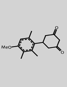 COc1cc(C)c(C2CC(=O)CC(=O)C2)c(C)c1C